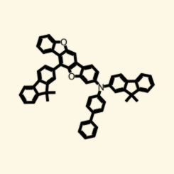 CC1(C)c2ccccc2-c2ccc(-c3c4oc5cc(N(c6ccc(-c7ccccc7)cc6)c6ccc7c(c6)C(C)(C)c6ccccc6-7)ccc5c4cc4oc5ccccc5c34)cc21